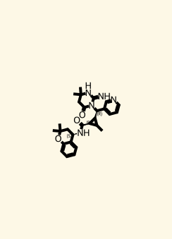 CC1C([C@H](c2cccnc2)N2C(=N)NC(C)(C)CC2=O)[C@@H]1C(=O)N[C@H]1CC(C)(C)Oc2ccccc21